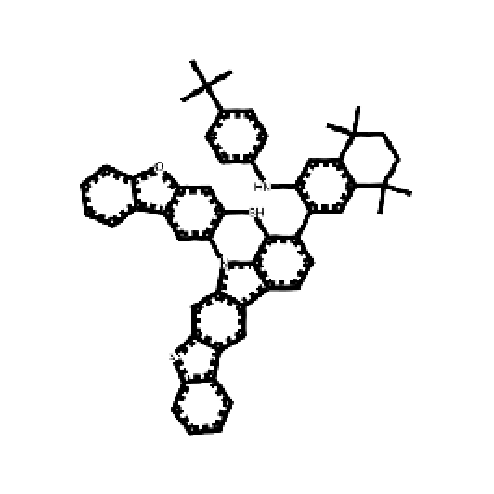 CC(C)(C)c1ccc(Nc2cc3c(cc2-c2ccc4c5cc6c(cc5n5c4c2Bc2cc4oc7ccccc7c4cc2-5)sc2ccccc26)C(C)(C)CCC3(C)C)cc1